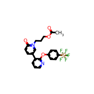 CC(=O)OCCCn1cc(-c2cccnc2Oc2ccc(S(F)(F)(F)(F)F)cc2)ccc1=O